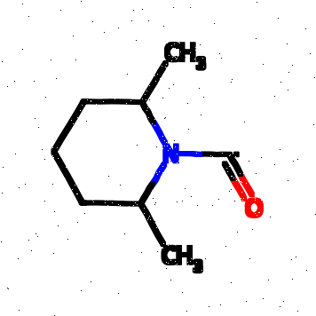 CC1CCCC(C)N1[C]=O